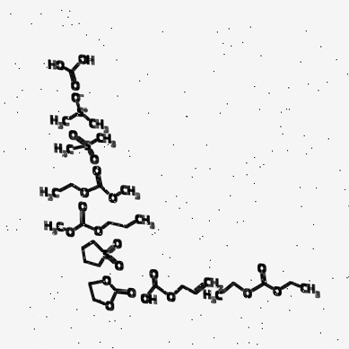 C=CCOC(=O)O.CCCOC(=O)OC.CCOC(=O)OC.CCOC(=O)OCC.CS(C)(=O)=O.C[S+](C)[O-].O=C(O)O.O=C1OCCO1.O=S1(=O)CCCC1